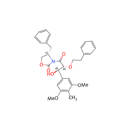 COc1cc([C@@H](O)[C@@H](OCCc2ccccc2)C(=O)N2C(=O)OC[C@@H]2Cc2ccccc2)cc(OC)c1C